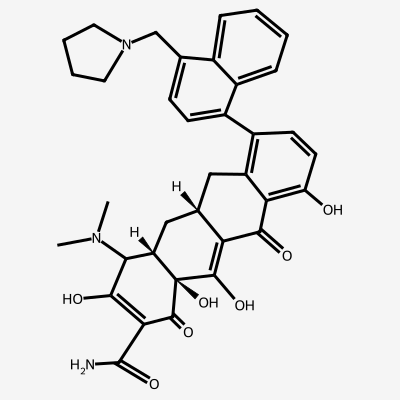 CN(C)C1C(O)=C(C(N)=O)C(=O)[C@@]2(O)C(O)=C3C(=O)c4c(O)ccc(-c5ccc(CN6CCCC6)c6ccccc56)c4C[C@H]3C[C@@H]12